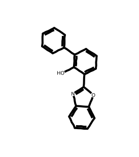 Oc1c(-c2ccccc2)cccc1-c1nc2ccccc2o1